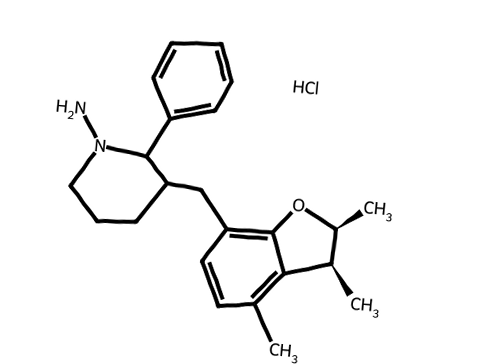 Cc1ccc(CC2CCCN(N)C2c2ccccc2)c2c1[C@H](C)[C@H](C)O2.Cl